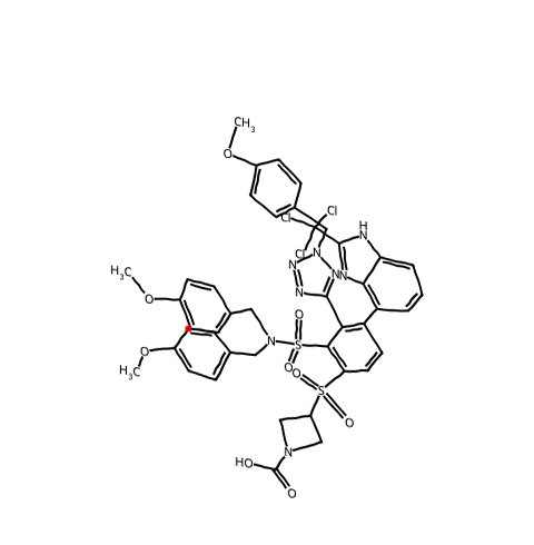 COc1ccc(CN(Cc2ccc(OC)cc2)S(=O)(=O)c2c(S(=O)(=O)C3CN(C(=O)O)C3)ccc(-c3cccc4[nH]c(C(Cl)(Cl)Cl)nc34)c2-c2nnn(Cc3ccc(OC)cc3)n2)cc1